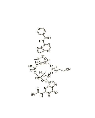 CC(C)C(=O)Nc1nc2c(ncn2[C@@H]2O[C@@H]3COP(=O)(O)O[C@H]4[C@@H](C)[C@H](c5cnn6c(NC(=O)c7ccccc7)ncnc56)O[C@@H]4COP(=O)(OCCC#N)O[C@@H]2[C@@H]3C)c(=O)[nH]1